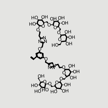 C=Cc1cc(OCC2=NC(CCO[C@@H]3O[C@H](CO[C@@H]4O[C@H](CO[C@@H]5O[C@H](CO)[C@@H](O)[C@H](O)[C@H]5O)[C@@H](O)[C@H](O)[C@H]4O)[C@@H](O)[C@H](O)[C@H]3O)N=N2)cc(OCc2cn(CCO[C@@H]3O[C@H](CO[C@@H]4O[C@H](CO[C@@H]5O[C@H](CO)[C@@H](O)[C@H](O)[C@H]5O)[C@@H](O)[C@H](O)[C@H]4O)[C@@H](O)[C@H](O)[C@H]3O)nn2)c1